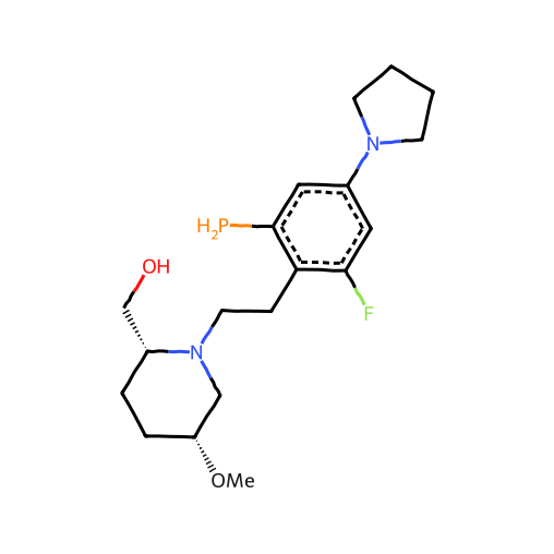 CO[C@@H]1CC[C@H](CO)N(CCc2c(F)cc(N3CCCC3)cc2P)C1